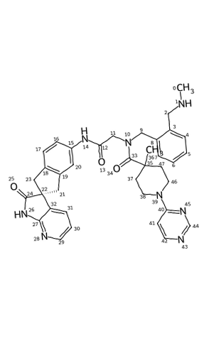 CNCc1ccccc1CN(CC(=O)Nc1ccc2c(c1)C[C@@]1(C2)C(=O)Nc2ncccc21)C(=O)C1(C)CCN(c2ccncn2)CC1